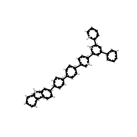 c1ccc(-c2cc(-c3ccccn3)nc(-c3ccc(-c4ccc(-c5ccc(-c6ccc7c(c6)oc6ccccc67)cc5)cc4)cn3)c2)cc1